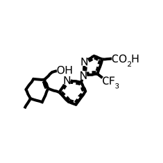 CC1CCC(CO)=C(c2cccc(-n3ncc(C(=O)O)c3C(F)(F)F)n2)C1